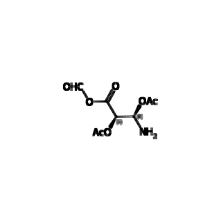 CC(=O)O[C@@H](N)[C@@H](OC(C)=O)C(=O)OC=O